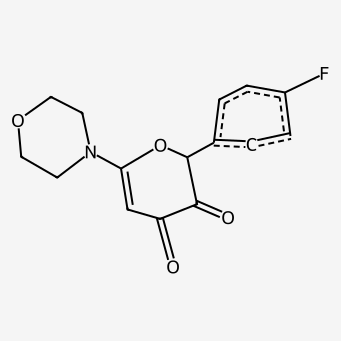 O=C1C=C(N2CCOCC2)OC(c2ccc(F)cc2)C1=O